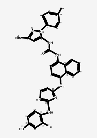 CCCCc1cc(NC(=O)Nc2ccc(Oc3ccnc(Nc4ccc(O)cc4F)n3)c3ccccc23)n(-c2ccc(C)cc2)n1